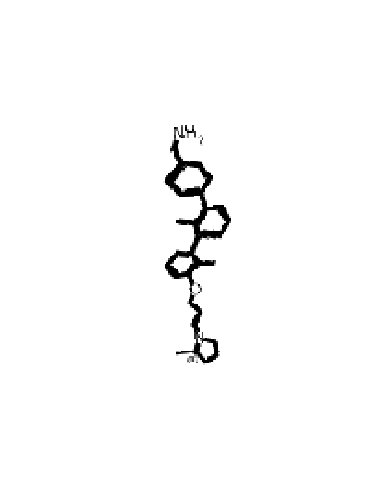 Cc1c(OCCCN2CCC[C@H]2C)cccc1-c1cccc(-c2ccc(CN)cc2)c1C